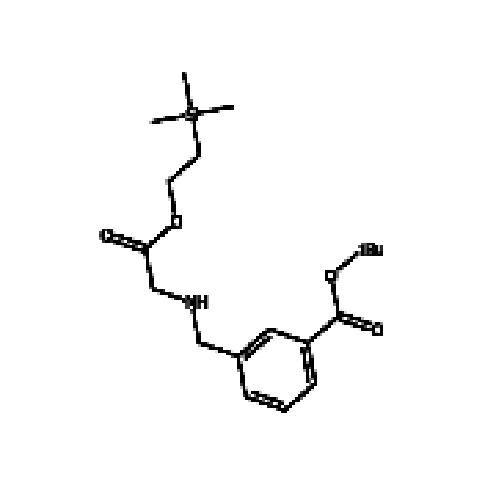 CC(C)(C)OC(=O)c1cccc(CNCC(=O)OCC[Si](C)(C)C)c1